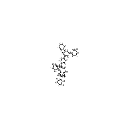 c1ccc(-c2cc(-c3ccccc3)nc(-c3ccc(-n4c5ccccc5c5c6oc(-c7ccccc7)nc6ccc54)cc3)c2)cc1